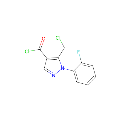 O=C(Cl)c1cnn(-c2ccccc2F)c1CCl